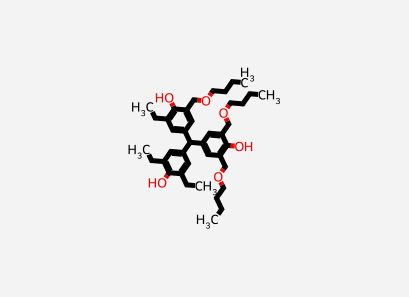 CCCCOCc1cc(C(c2cc(CC)c(O)c(CC)c2)c2cc(COCCCC)c(O)c(COCCCC)c2)cc(CC)c1O